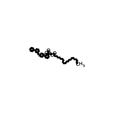 CC/C=C\C/C=C\CC/C=C/C=C\C/C=C\CCCCCC(=O)OCn1c(=O)oc2c(N3CCN(Cc4cccc(-c5ccccc5)c4)CC3)cccc21